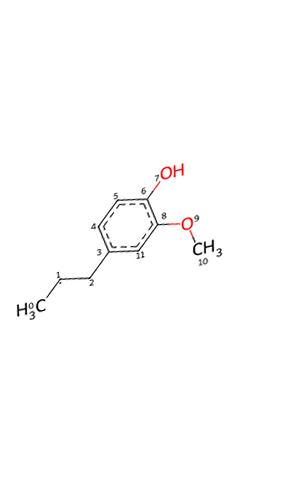 C[CH]Cc1ccc(O)c(OC)c1